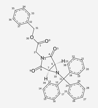 O=C(CN1C(=O)[C@@H]2[C@H](C1=O)N2C(c1ccccc1)(c1ccccc1)c1ccccc1)OCc1ccccc1